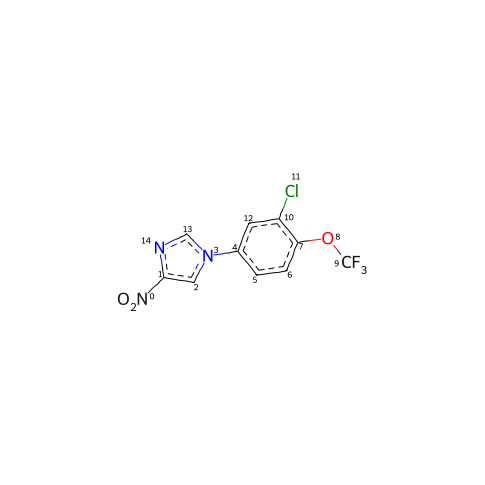 O=[N+]([O-])c1cn(-c2ccc(OC(F)(F)F)c(Cl)c2)cn1